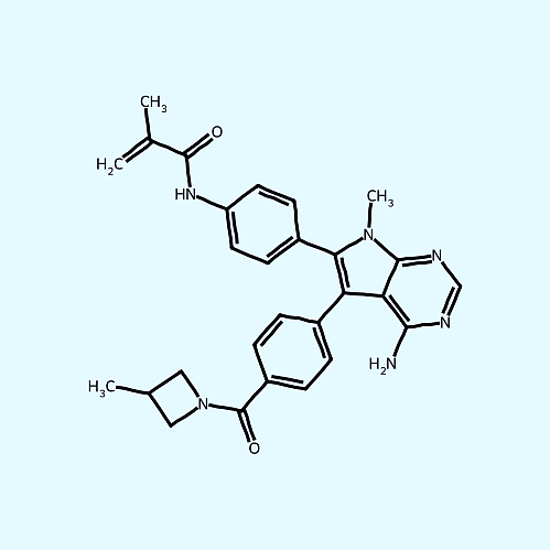 C=C(C)C(=O)Nc1ccc(-c2c(-c3ccc(C(=O)N4CC(C)C4)cc3)c3c(N)ncnc3n2C)cc1